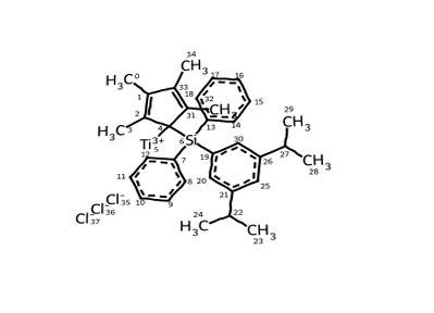 CC1=C(C)[C]([Ti+3])([Si](c2ccccc2)(c2ccccc2)c2cc(C(C)C)cc(C(C)C)c2)C(C)=C1C.[Cl-].[Cl-].[Cl-]